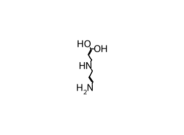 NC=CCNCC=C(O)O